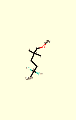 CC(C)OCC(C)(C)CCC(F)(F)C(C)(C)C